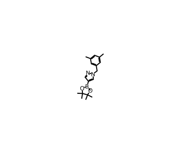 Cc1cc(C)cc(Cn2cc(B3OC(C)(C)C(C)(C)O3)cn2)c1